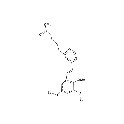 CCOc1cc(C=Cc2cccc(CCCCC(=O)OC)c2)c(OC)c(OCC)c1